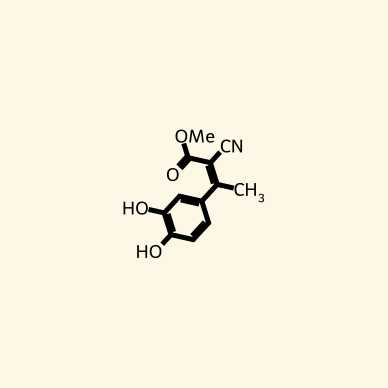 COC(=O)C(C#N)=C(C)c1ccc(O)c(O)c1